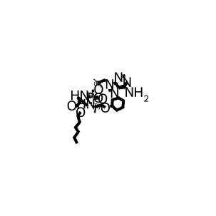 CCCCCCOC(=O)C(C)(C)N[P@@](=O)(CO[C@H](C)Cn1cnc2c(N)ncnc21)N[C@H](C)C(=O)OC1CCCCC1